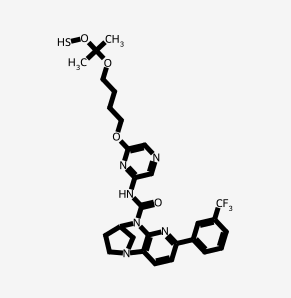 CC(C)(OS)OCCCCOc1cncc(NC(=O)N2c3nc(-c4cccc(C(F)(F)F)c4)ccc3N3CCC2C3)n1